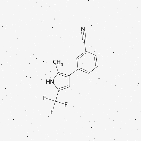 Cc1[nH]c(C(F)(F)F)cc1-c1cccc(C#N)c1